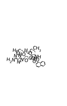 CCCCCOC(=O)[C@H](CC(C)C)NP(=O)(OC[C@@H]1CC(O)[C@H](n2cnc3c(N)nc(F)nc32)O1)Oc1cccc2ccccc12